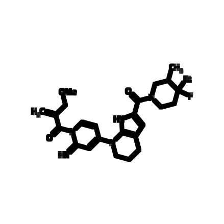 C=C(COC)C(=O)n1ccc(N2CCCc3cc(C(=O)N4CCC(F)(CC)C(C)C4)[nH]c32)cc1=N